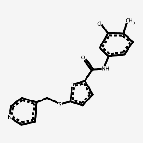 Cc1ccc(NC(=O)c2ccc(SCc3ccncc3)o2)cc1Cl